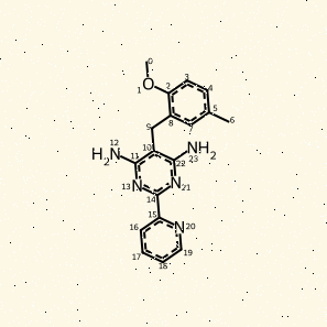 COc1ccc(C)cc1Cc1c(N)nc(-c2ccccn2)nc1N